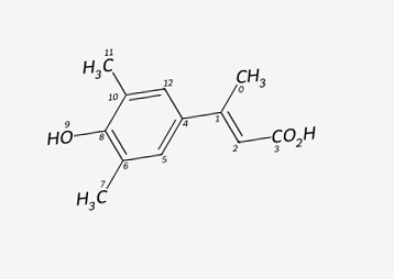 C/C(=C\C(=O)O)c1cc(C)c(O)c(C)c1